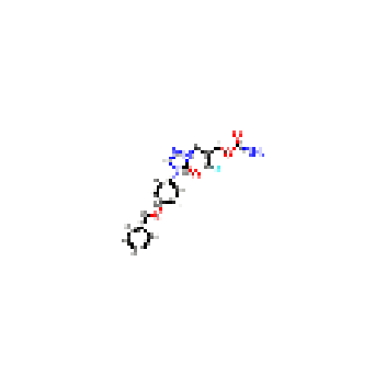 NC(=O)OCC(=CF)Cn1ncn(-c2ccc(OCc3ccccc3)cc2)c1=O